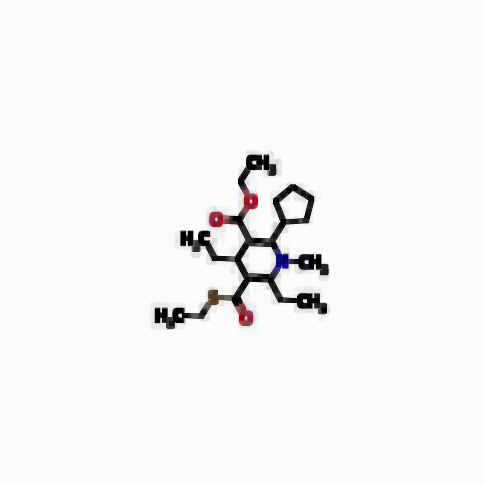 CCOC(=O)C1=C(C2CCCC2)N(C)C(CC)=C(C(=O)SCC)C1CC